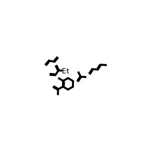 C=C(C)C.C=C(C)C1=C(C)CCCC1.C=CC(=C)CC.C=CC=C.C=CC=CC